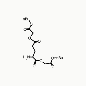 CCCCOC(=O)COC(=O)CCC(N)C(=O)OCC(=O)OCCCC